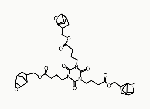 O=C(CCCn1c(=O)n(CCCC(=O)OCC2CC3CC24CC3O4)c(=O)n(CCCC(=O)OCC2CC3CC24CC3O4)c1=O)OCC1CC2CC1C1OC21